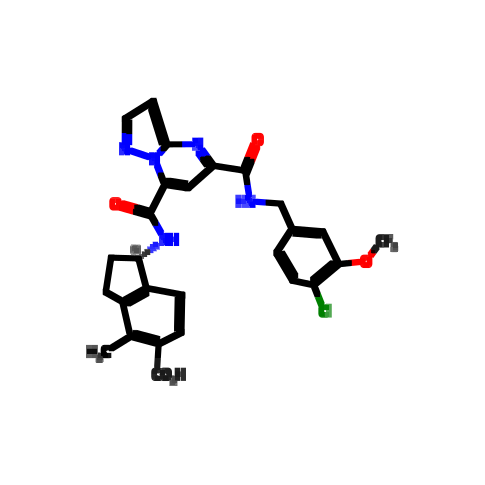 Cc1c(C(=O)O)ccc2c1CC[C@@H]2NC(=O)c1cc(C(=O)NCc2ccc(Cl)c(OC(F)(F)F)c2)nc2ccnn12